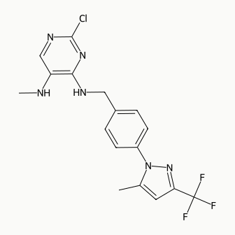 CNc1cnc(Cl)nc1NCc1ccc(-n2nc(C(F)(F)F)cc2C)cc1